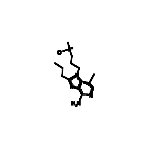 CCCc1nc2c(N)ncc(C)c2n1CCC[S+](C)[O-]